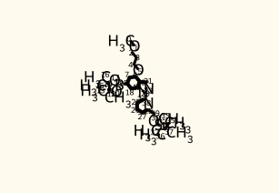 COCCCOc1cc(B2OC(C)(C)C(C)(C)O2)cc2c1cnn2-c1cccc(CO[Si](C)(C)C(C)(C)C)n1